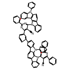 N#Cc1c(-c2cccc(-c3ccc4c(c3)c3ccc5c6ccccc6n(-c6nc(-c7ccccc7)nc(-c7ccccc7)c6C#N)c5c3n4-c3ccccc3)c2)nc(-c2ccccc2)nc1-n1c2ccccc2c2ccc3c(c4ccccc4n3-c3ccccc3)c21